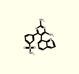 Nc1nc(N)c(-c2cccc3cccnc23)c(-c2cccc(S(N)(=O)=O)c2)n1